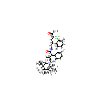 BC1(B)N(c2nc3ccc(Br)cc3c(C(=O)NCC(CCC(=O)O)c3c(F)ccc(F)c3Cl)c2C)C(B)(B)C(B)(B)C(B)(B)C1(B)B